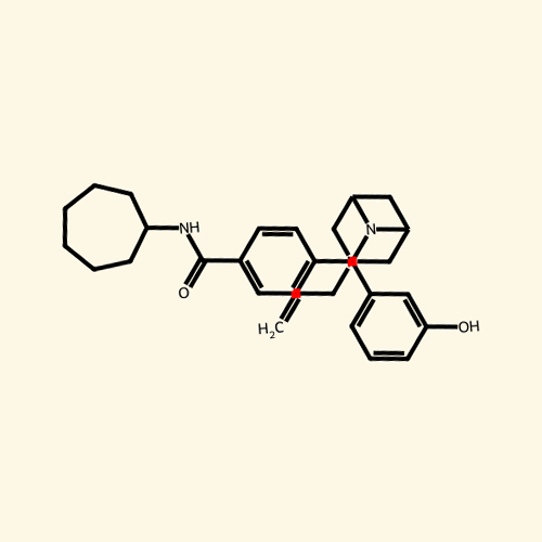 C=CCN1CC2CC(C1)N2C(c1ccc(C(=O)NC2CCCCCC2)cc1)c1cccc(O)c1